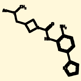 CC(=O)N(C)CC1CN(C(=O)Nc2cc(-c3cccs3)ccc2N)C1